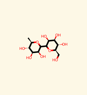 C[C@H]1OC([C]2O[C@H](CO)[C@@H](O)[C@H](O)[C@@H]2O)[C@@H](O)[C@@H](O)[C@@H]1O